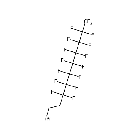 CC(C)[CH]CC(F)(F)C(F)(F)C(F)(F)C(F)(F)C(F)(F)C(F)(F)C(F)(F)C(F)(F)F